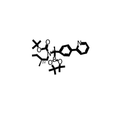 CC[C@H](C)CN(C(=O)OC(C)(C)C)[C@@](C)(B1OC(C)(C)C(C)(C)O1)c1ccc(-c2ccccn2)cc1